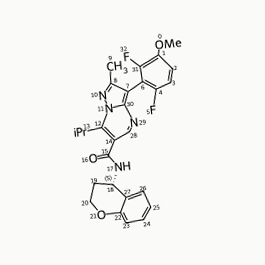 COc1ccc(F)c(-c2c(C)nn3c(C(C)C)c(C(=O)N[C@H]4CCOc5ccccc54)cnc23)c1F